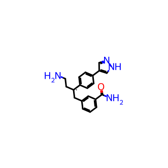 NCC[C](Cc1cccc(C(N)=O)c1)c1ccc(-c2cn[nH]c2)cc1